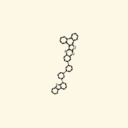 c1cc(-c2cccc(-c3cccc4c3sc3ccccc34)c2)cc(-c2ccc3nc4c(nc3c2)oc2c3ccccc3c3ccccc3c42)c1